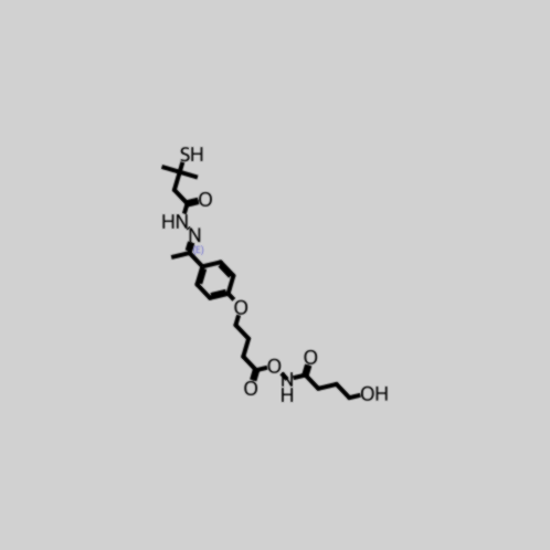 C/C(=N\NC(=O)CC(C)(C)S)c1ccc(OCCCC(=O)ONC(=O)CCCO)cc1